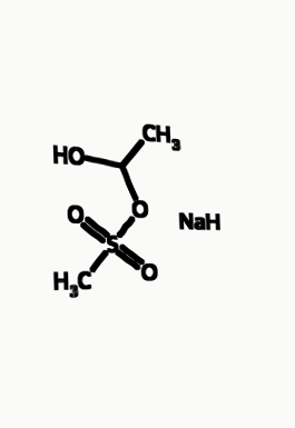 CC(O)OS(C)(=O)=O.[NaH]